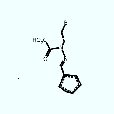 O=C(O)C(=O)N(CCBr)/N=C/c1ccccc1